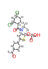 CC(=O)c1ccc(-c2cc(N(C(=O)c3ccc(Cl)cc3Cl)C(C)C)c(OC(=O)O)s2)cc1